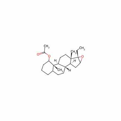 CC[C@@]12OC1C[C@H]1[C@@H]3CCC4CCCC(OC(C)=O)[C@]4(C)[C@H]3CC[C@@]12C